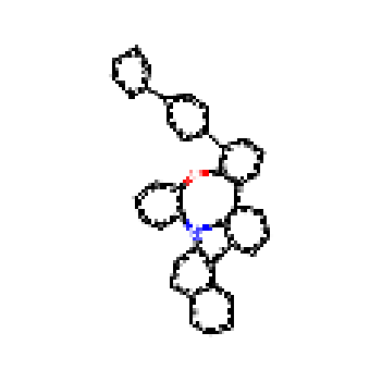 c1ccc(-c2ccc(-c3cccc4c3oc3ccccc3n3c5ccc6ccccc6c5c5cccc4c53)cc2)cc1